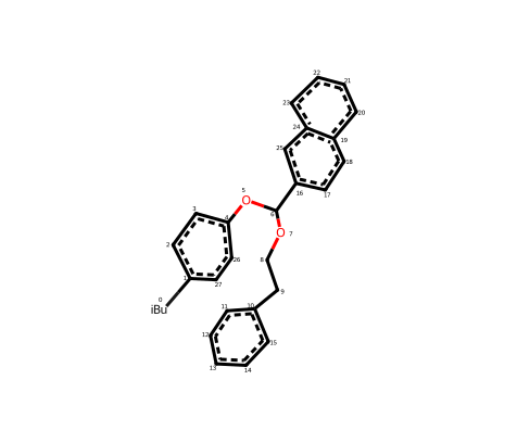 CCC(C)c1ccc(OC(OCCc2ccccc2)c2ccc3ccccc3c2)cc1